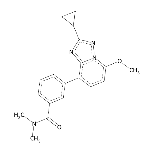 COc1ccc(-c2cccc(C(=O)N(C)C)c2)c2nc(C3CC3)nn12